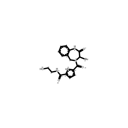 CCC(C)C1C(=O)Nc2ccccc2CN1C(=O)c1ccc(C(=O)NCCO)[nH]1